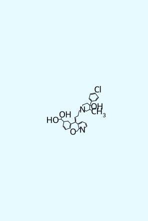 CC1CN(CC/C=C2/C3=C(C=CC(C(O)O)C3)OCc3ncccc32)CCC1(O)c1ccc(Cl)cc1